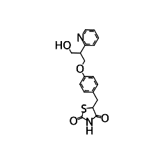 O=C1NC(=O)C(Cc2ccc(OCC(CO)c3ccccn3)cc2)S1